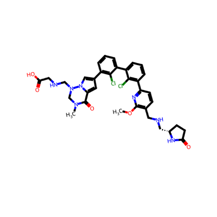 COc1nc(-c2cccc(-c3cccc(-c4cc5n(c4)N(CNCC(=O)O)CN(C)C5=O)c3Cl)c2Cl)ccc1CNC[C@@H]1CCC(=O)N1